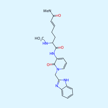 CNC(=O)C=CCCC(NC(=O)O)C(=O)Nc1cccn(Cc2nc3ccccc3[nH]2)c1=O